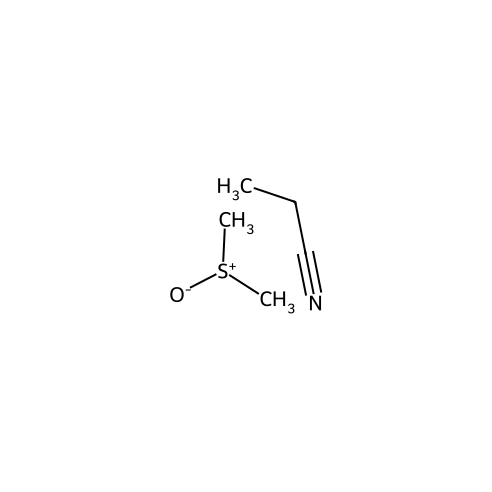 CCC#N.C[S+](C)[O-]